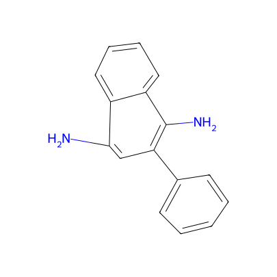 Nc1cc(-c2ccccc2)c(N)c2ccccc12